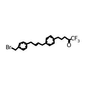 O=C(CCCc1ccc(CC=CCc2ccc(CBr)cc2)cc1)C(F)(F)F